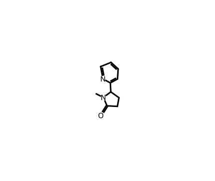 CN1C(=O)CCC1c1ccccn1